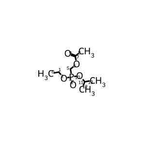 CCOP(=O)(COC(C)=O)OC(C)C